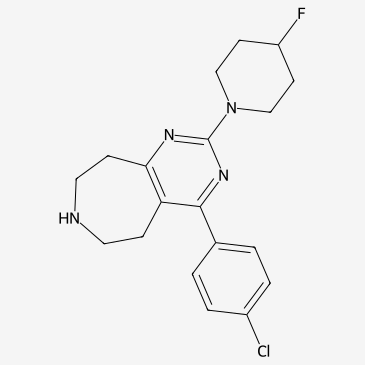 FC1CCN(c2nc3c(c(-c4ccc(Cl)cc4)n2)CCNCC3)CC1